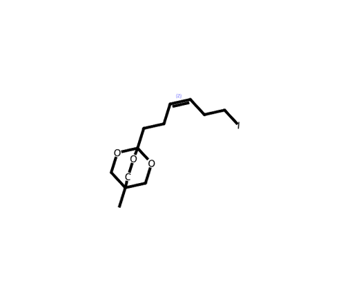 CC12COC(CC/C=C\CCI)(OC1)OC2